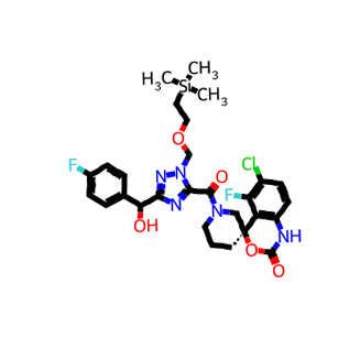 C[Si](C)(C)CCOCn1nc(C(O)c2ccc(F)cc2)nc1C(=O)N1CCC[C@@]2(C1)OC(=O)Nc1ccc(Cl)c(F)c12